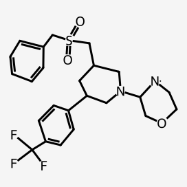 O=S(=O)(Cc1ccccc1)CC1CC(c2ccc(C(F)(F)F)cc2)CN(C2COCC[N]2)C1